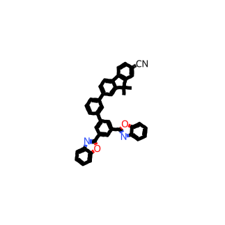 CC1(C)c2cc(C#N)ccc2-c2ccc(-c3cccc(-c4cc(-c5nc6ccccc6o5)cc(-c5nc6ccccc6o5)c4)c3)cc21